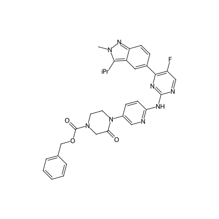 CC(C)c1c2cc(-c3nc(Nc4ccc(N5CCN(C(=O)OCc6ccccc6)CC5=O)cn4)ncc3F)ccc2nn1C